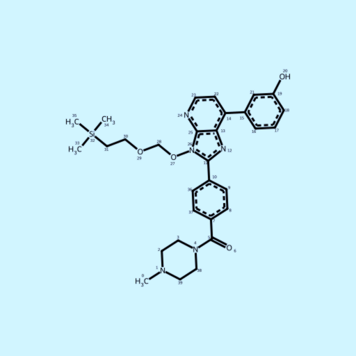 CN1CCN(C(=O)c2ccc(-c3nc4c(-c5cccc(O)c5)ccnc4n3OCOCC[Si](C)(C)C)cc2)CC1